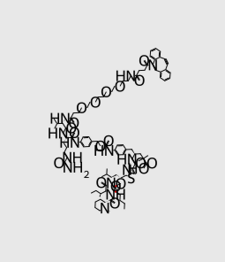 CCCCCON(C(=O)[C@@H](NC(=O)[C@H]1CCCCN1C)[C@@H](C)CC)[C@H](C[C@@H](OCC)c1nc(C(=O)N[C@@H](Cc2ccc(NC(=O)OCc3ccc(NC(=O)[C@H](CCCNC(N)=O)NC(=O)[C@@H](NC(=O)CCOCCOCCOCCOCCNC(=O)CCC(=O)N4Cc5ccccc5C#Cc5ccccc54)C(C)C)cc3)cc2)CC(C)(C)C(=O)O)cs1)C(C)C